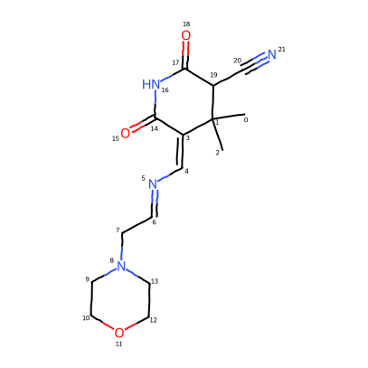 CC1(C)C(=CN=CCN2CCOCC2)C(=O)NC(=O)C1C#N